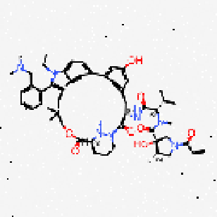 C=CC(=O)N1C[C@H](C)C(O)(C(=O)N(C)[C@H](C(=O)N[C@H]2Cc3cc(O)cc(c3)-c3ccc4c(c3)c(c(-c3ccccc3CN(C)C)n4CC)CC(C)(C)COC(=O)[C@@H]3CCCN(N3)C2=O)C(C)C)C1